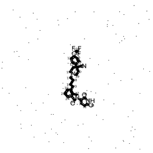 N#CC1(c2ccc(OC(F)(F)F)cc2)CCN(CCCCc2cccc3c2CN(C2CCC(=O)NC2=O)C3=O)CC1